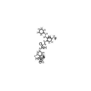 Cc1cc(CNC(=O)/C=C/c2ccc(CF)nc2CCc2ccccc2)cc(F)c1NS(C)(=O)=O